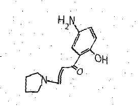 Nc1ccc(O)c(C(=O)C=CN2CCCC2)c1